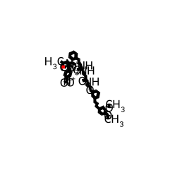 COc1ccc(CCCc2cccc(OCCNC(=O)CCNC(=O)N[C@H](CCN(CC(C)C)S(=O)(=O)c3ccc([N+](=O)[O-])cc3)Cc3ccccc3)c2)cc1OC